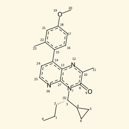 CCC[C@@H](C1CC1)n1c(=O)c(C)nc2c(-c3ccc(OC)cc3C)ccnc21